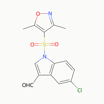 Cc1noc(C)c1S(=O)(=O)n1cc(C=O)c2cc(Cl)ccc21